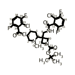 CN1CCCCC1C1(CNC(=O)c2c(F)ccc(F)c2Cl)CN(C(=O)OC(C)(C)C)C1.O=C(Cl)c1c(F)ccc(F)c1Cl